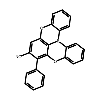 N#Cc1cc2c3c(c1-c1ccccc1)Oc1ccccc1B3c1ccccc1O2